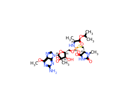 COc1nc(N)nc2c1ncn2[C@@H]1O[C@H](CO[P@](=O)(N[C@H](C)C(=O)OC(C)C)SC[C@H]2C(=O)NC(=O)N2C)[C@@H](O)[C@@]1(C)O